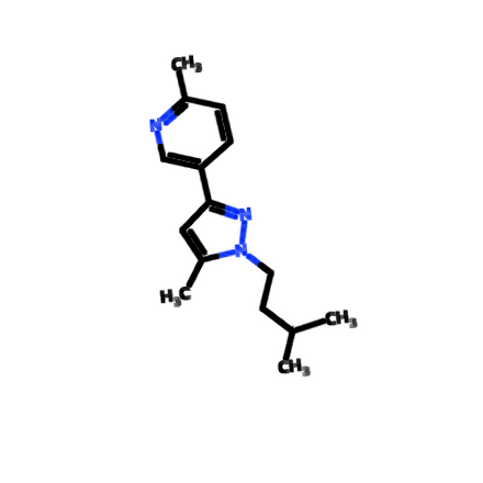 C[C](C)CCn1nc(-c2ccc(C)nc2)cc1C